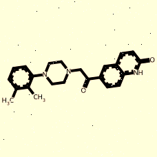 Cc1cccc(N2CCN(CC(=O)c3ccc4[nH]c(=O)ccc4c3)CC2)c1C